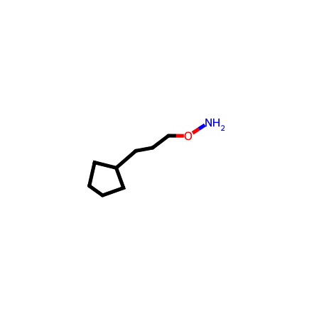 NOCCCC1CCCC1